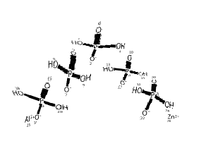 O=P([O-])(O)O.O=P([O-])(O)O.O=P([O-])(O)O.O=P([O-])(O)O.O=P([O-])(O)O.[Al+3].[Zn+2]